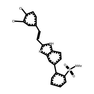 CNS(=O)(=O)c1ccccc1-c1ccc2[nH]c(C=Cc3ccc(Cl)c(Cl)c3)nc2c1